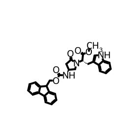 COC(=O)[C@H](Cc1c[nH]c2ccccc12)N1C[C@@H](NC(=O)OCC2c3ccccc3-c3ccccc32)CC1=O